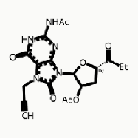 C#CCn1c(=O)n(C2O[C@H](C(=O)CC)CC2OC(C)=O)c2nc(NC(C)=O)[nH]c(=O)c21